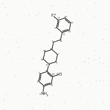 Nc1ccc(N2CCC(CCc3cccc(F)c3)CC2)c(Cl)c1